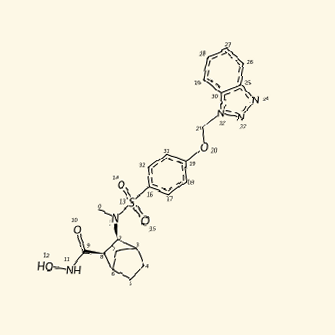 CN([C@H]1C2CCC(C2)[C@H]1C(=O)NO)S(=O)(=O)c1ccc(OCn2nnc3ccccc32)cc1